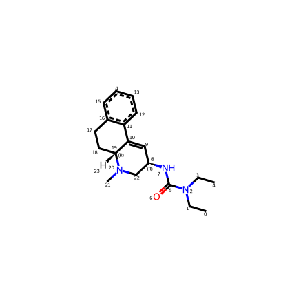 CCN(CC)C(=O)N[C@@H]1C=C2c3ccccc3CC[C@H]2N(C)C1